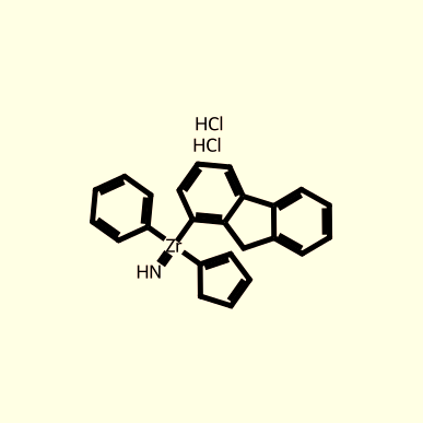 Cl.Cl.[NH]=[Zr]([C]1=CC=CC1)([c]1ccccc1)[c]1cccc2c1Cc1ccccc1-2